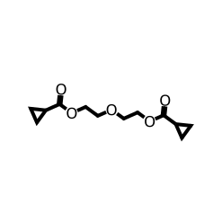 O=C(OCCOCCOC(=O)C1CC1)C1CC1